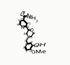 COc1ccc(CN2CCOC(c3cc(C(N)=O)ccn3)C2)cc1O